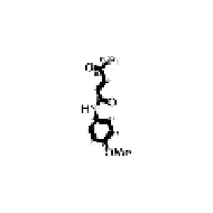 COc1ccc(NC(=O)/C=C/C(=O)C(C)C)cc1